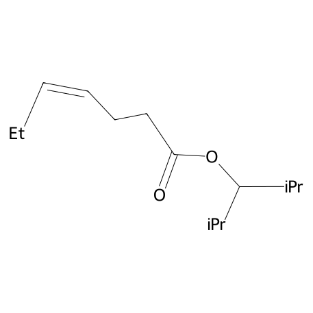 CC/C=C\CCC(=O)OC(C(C)C)C(C)C